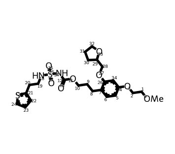 COCCOc1ccc(CCCOC(=O)NS(=O)(=O)NCCc2cccs2)c(OCC2CCCO2)c1